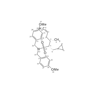 C=CC[C@H](C)[C@H](CC1CC1)S(=O)(=O)N(Cc1ccc(OC)cc1)Cc1ccc(OC)cc1